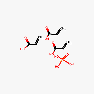 C=CC(=O)O.C=CC(=O)O.C=CC(=O)O.O=P(O)(O)O